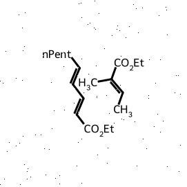 CC=C(C)C(=O)OCC.CCCCCC=CC=CC(=O)OCC